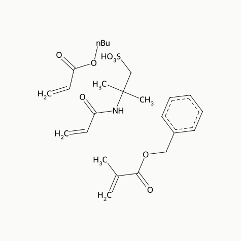 C=C(C)C(=O)OCc1ccccc1.C=CC(=O)NC(C)(C)CS(=O)(=O)O.C=CC(=O)OCCCC